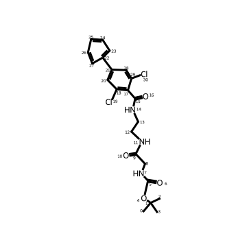 CC(C)(C)OC(=O)NCC(=O)NCCNC(=O)c1c(Cl)cc(-c2ccccc2)cc1Cl